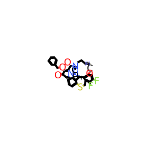 O=C1c2c(OCc3ccccc3)c(=O)ccn2N2CN1CC/C=C/COc1cc(F)c(F)c3c1[C@@H]2c1ccccc1SC3